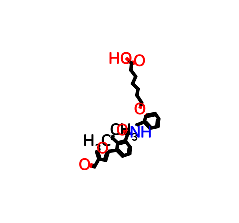 CC(C)c1c(C(=O)NCc2ccccc2OCCCCCCC(=O)O)cccc1-c1cc(C=O)co1